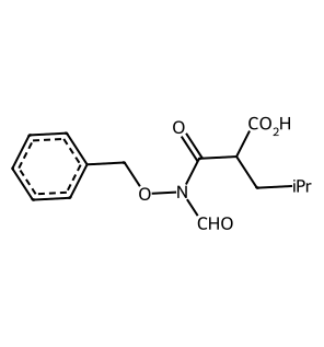 CC(C)CC(C(=O)O)C(=O)N(C=O)OCc1ccccc1